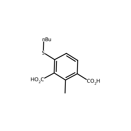 CCCCSc1ccc(C(=O)O)c(C)c1C(=O)O